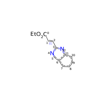 CCOC(=O)/C=C/c1ncc2ccccc2n1